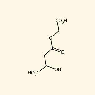 O=C(O)COC(=O)CC(O)C(=O)O